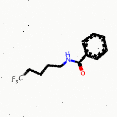 O=C(NCCCCC(F)(F)F)c1ccccc1